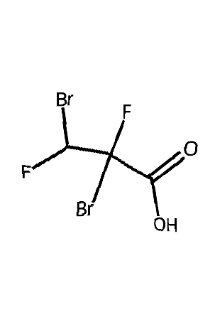 O=C(O)C(F)(Br)C(F)Br